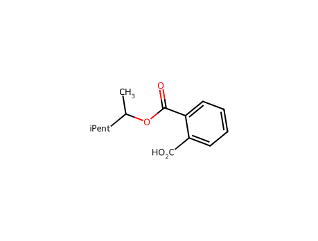 CCCC(C)C(C)OC(=O)c1ccccc1C(=O)O